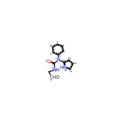 O=[C]CNC(=O)N(c1ccccc1)c1ccc[nH]1